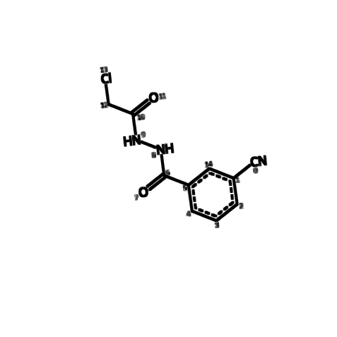 N#Cc1cccc(C(=O)NNC(=O)CCl)c1